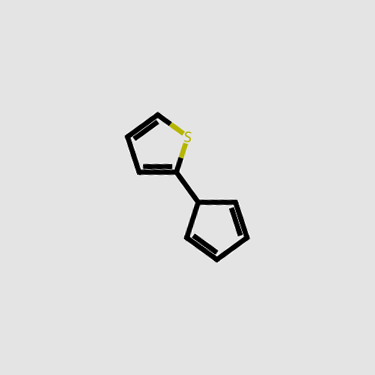 C1=CC(c2cccs2)C=C1